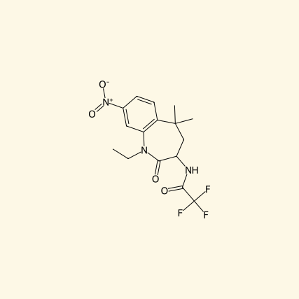 CCN1C(=O)C(NC(=O)C(F)(F)F)CC(C)(C)c2ccc([N+](=O)[O-])cc21